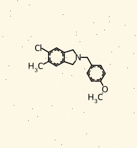 COc1ccc(CN2Cc3cc(C)c(Cl)cc3C2)cc1